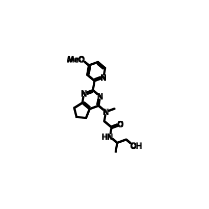 COc1ccnc(-c2nc3c(c(N(C)CC(=O)NC(C)CO)n2)CCC3)c1